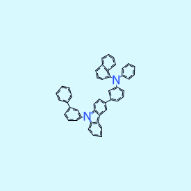 c1ccc(-c2cccc(-n3c4ccccc4c4cc(-c5cccc(N(c6ccccc6)c6cccc7ccccc67)c5)ccc43)c2)cc1